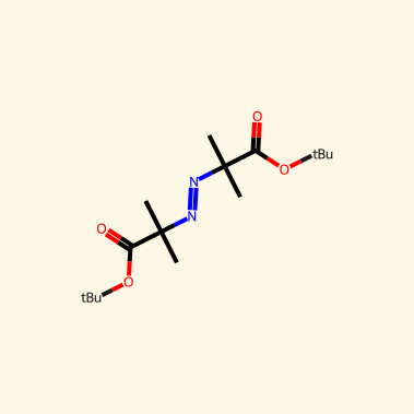 CC(C)(C)OC(=O)C(C)(C)N=NC(C)(C)C(=O)OC(C)(C)C